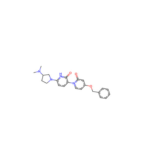 CN(C)C1CCN(c2ccc(-n3ccc(OCc4ccccc4)cc3=O)c(=O)[nH]2)C1